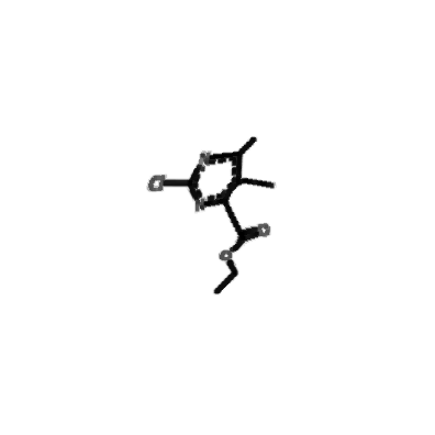 CCOC(=O)c1nc(Cl)nc(C)c1C